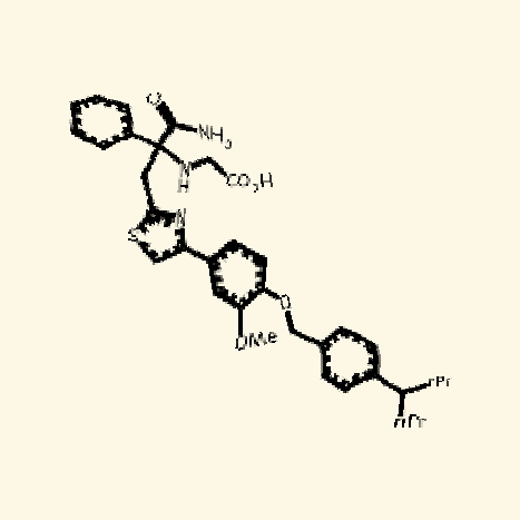 CCCC(CCC)c1ccc(COc2ccc(-c3csc(CC(NCC(=O)O)(C(N)=O)c4ccccc4)n3)cc2OC)cc1